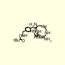 CC(C)(C)C(=O)ONCc1ccc(CC2NCCNCC3(N)CNCCNCC2(N)CNCCNC3)cc1